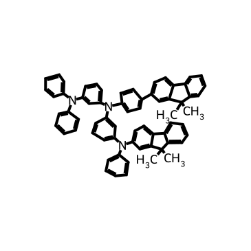 CC1(C)c2ccccc2-c2ccc(-c3ccc(N(c4cccc(N(c5ccccc5)c5ccccc5)c4)c4cccc(N(c5ccccc5)c5ccc6c(c5)C(C)(C)c5ccccc5-6)c4)cc3)cc21